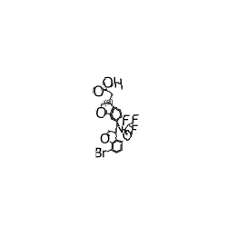 O=C(O)C[C@@H]1COc2cc(N(C(=O)C(F)(F)F)C3COc4c(Br)cccc43)ccc21